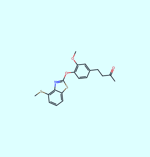 COc1cc(CCC(C)=O)ccc1Oc1nc2c(SC)cccc2s1